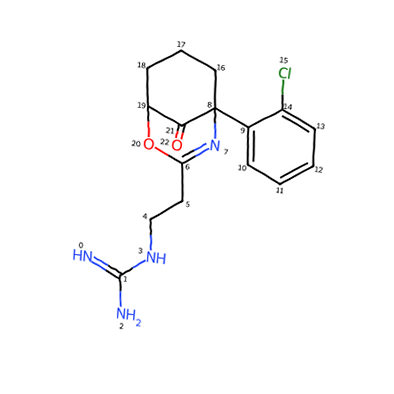 N=C(N)NCCC1=NC2(c3ccccc3Cl)CCCC(O1)C2=O